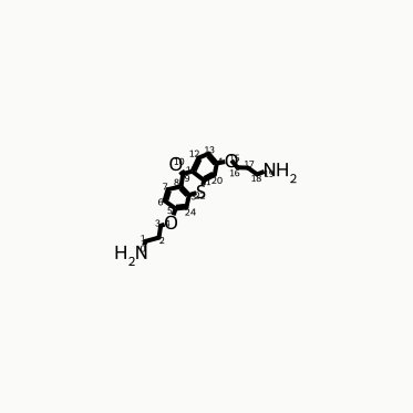 NCCCOc1ccc2c(=O)c3ccc(OCCCN)cc3sc2c1